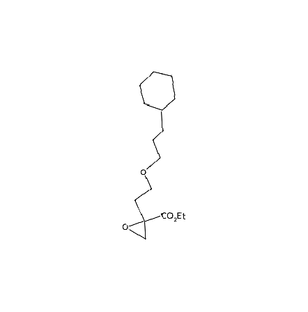 CCOC(=O)C1(CCOCCCC2CCCCC2)CO1